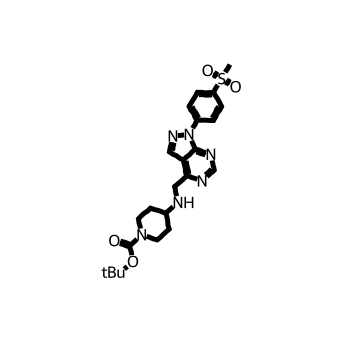 CC(C)(C)OC(=O)N1CCC(NCc2ncnc3c2cnn3-c2ccc(S(C)(=O)=O)cc2)CC1